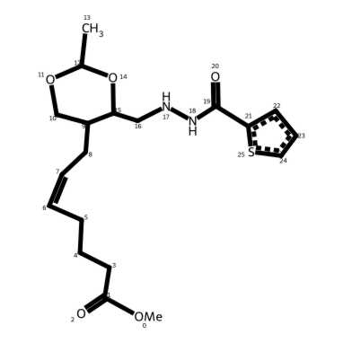 COC(=O)CCC/C=C\CC1COC(C)OC1CNNC(=O)c1cccs1